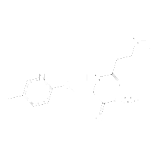 COC(=O)[C@H](CSc1ccc(C)cn1)NC(=O)CCN